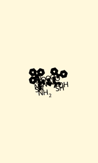 Nc1nc(/C(=N/OC(c2ccccc2)(c2ccccc2)c2ccccc2)C(=O)N[C@H]2CN(/C(C(=O)OC(c3ccccc3)c3ccccc3)=C(/CO)CS)C2=O)ns1